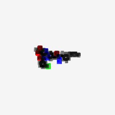 COc1cccc([C@@H](C)NC(=O)CC2CCN(c3ncc(S(C)(=O)=O)cc3NC(=O)c3cccc(Cl)c3)CC2)c1